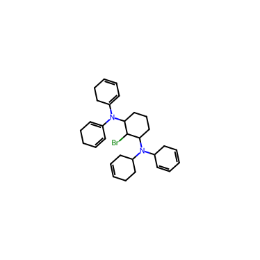 BrC1C(N(C2=CCCC=C2)C2=CC=CCC2)CCCC1N(C1C=CC=CC1)C1CC=CCC1